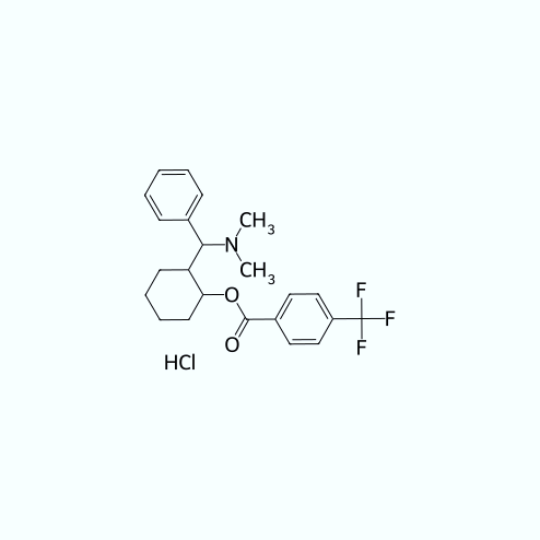 CN(C)C(c1ccccc1)C1CCCCC1OC(=O)c1ccc(C(F)(F)F)cc1.Cl